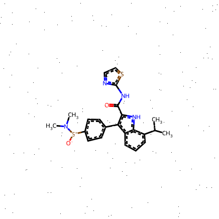 CC(C)c1cccc2c(-c3ccc([S+]([O-])N(C)C)cc3)c(C(=O)Nc3nccs3)[nH]c12